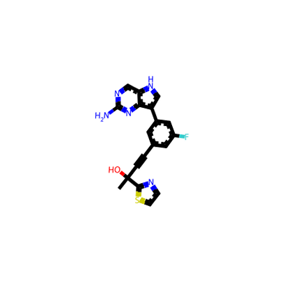 CC(O)(C#Cc1cc(F)cc(-c2c[nH]c3cnc(N)nc23)c1)c1nccs1